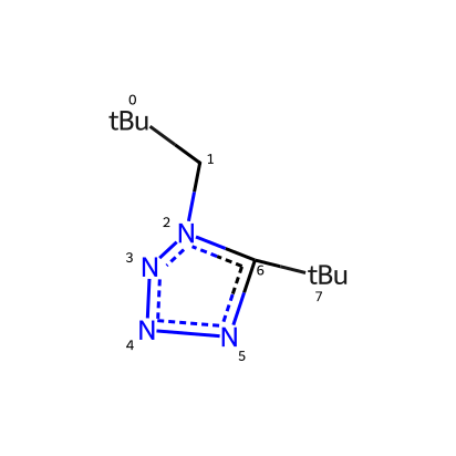 CC(C)(C)Cn1nnnc1C(C)(C)C